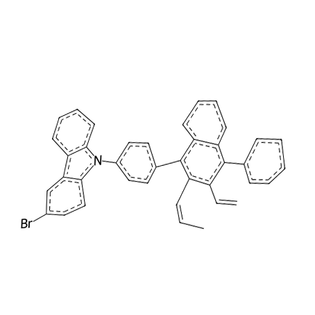 C=Cc1c(/C=C\C)c(-c2ccc(-n3c4ccccc4c4cc(Br)ccc43)cc2)c2ccccc2c1-c1ccccc1